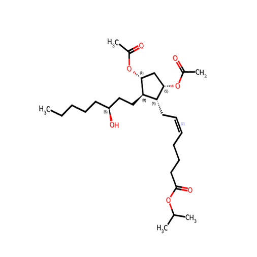 CCCCC[C@H](O)CC[C@@H]1[C@@H](C/C=C\CCCC(=O)OC(C)C)[C@@H](OC(C)=O)C[C@H]1OC(C)=O